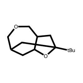 CC(C)(C)C12CC3COCC(C1)C(C3)O2